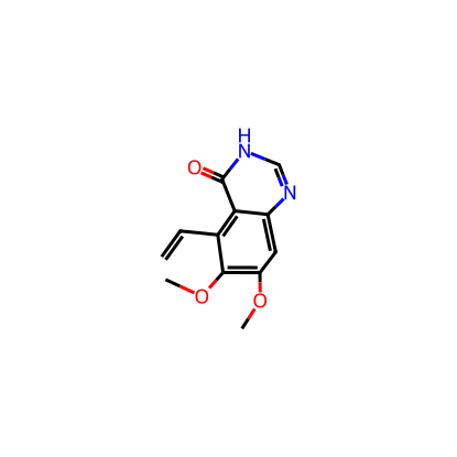 C=Cc1c(OC)c(OC)cc2nc[nH]c(=O)c12